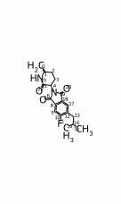 C=C1CCC(N2C(=O)c3cc(F)c(CC(C)C)cc3C2=O)C(=O)N1